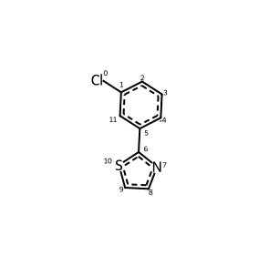 Clc1cc[c]c(-c2nccs2)c1